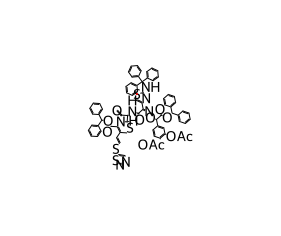 CC(=O)Oc1ccc([C@@H](O/N=C(\C(=O)N[C@@H]2C(=O)N3C(C(=O)OC(c4ccccc4)c4ccccc4)=C(/C=C/Sc4cnns4)CS[C@@H]23)c2csc(NC(c3ccccc3)(c3ccccc3)c3ccccc3)n2)C(=O)OC(c2ccccc2)c2ccccc2)cc1OC(C)=O